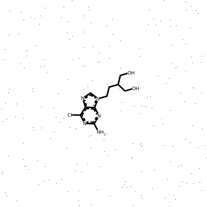 Nc1nc(Cl)c2ncn(CCC(CO)CO)c2n1